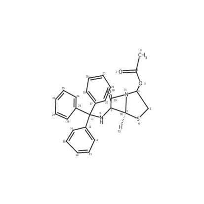 CC(=O)OC1CS[C@H]2C(NC(c3ccccc3)(c3ccccc3)c3ccccc3)C(=O)N12